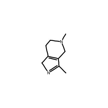 CC1=NCC2=C1CN(C)CC2